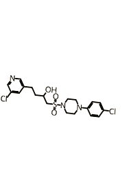 O=S(=O)(CC(O)CCc1cncc(Cl)c1)N1CCN(c2ccc(Cl)cc2)CC1